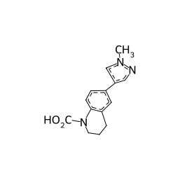 Cn1cc(-c2ccc3c(c2)CCCN3C(=O)O)cn1